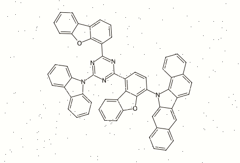 c1ccc2cc3c(cc2c1)c1ccc2ccccc2c1n3-c1ccc(-c2nc(-c3cccc4c3oc3ccccc34)nc(-n3c4ccccc4c4ccccc43)n2)c2c1oc1ccccc12